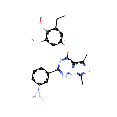 CCc1cc(Oc2nc(-c3cccc([N+](=O)[O-])c3)nn3c(C)nc(C)c23)cc(OC)c1OC